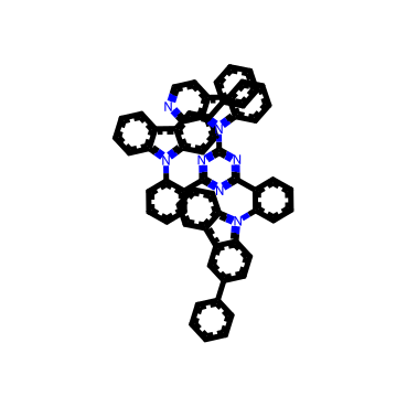 c1ccc(-c2ccc3c(c2)c2ccccc2n3-c2ccccc2-c2nc(-c3ccccc3-n3c4ccccc4c4cc(-c5ccccc5)ccc43)nc(-n3c4ccccc4c4ccncc43)n2)cc1